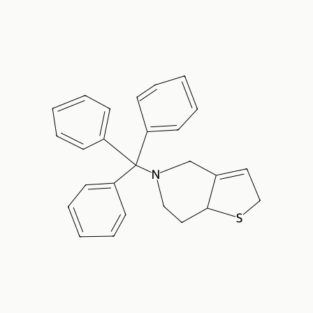 C1=C2CN(C(c3ccccc3)(c3ccccc3)c3ccccc3)CCC2SC1